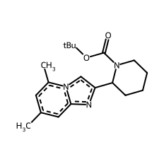 Cc1cc(C)n2cc(C3CCCCN3C(=O)OC(C)(C)C)nc2c1